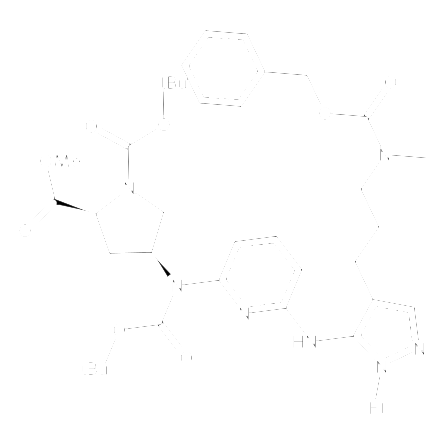 CCn1ncc(CCCN(C)C(=O)OCc2ccccc2)c1Nc1cccc(N(C(=O)OC(C)(C)C)[C@H]2C[C@@H](C(=O)OC)N(C(=O)OC(C)(C)C)C2)n1